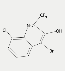 Oc1c(C(F)(F)F)nc2c(Cl)cccc2c1Br